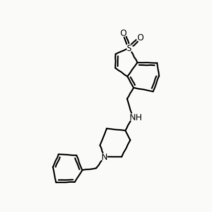 O=S1(=O)C=Cc2c(CNC3CCN(Cc4ccccc4)CC3)cccc21